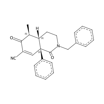 C[C@@H]1C(=O)C(C#N)=C[C@@]2(c3ccccc3)C(=O)N(Cc3ccccc3)CC[C@@H]12